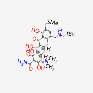 CSCc1cc(CNCC(C)(C)C)c2c(c1O)C(=O)C1=C(O)[C@]3(O)C(=O)C(C(N)=O)=C(O)[C@@H](N(C)C)[C@@H]3C[C@@H]1C2